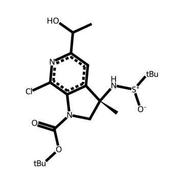 CC(O)c1cc2c(c(Cl)n1)N(C(=O)OC(C)(C)C)C[C@@]2(C)N[S+]([O-])C(C)(C)C